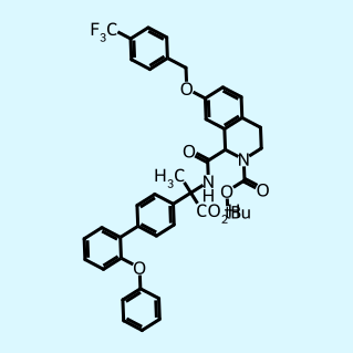 CC(C)(C)OC(=O)N1CCc2ccc(OCc3ccc(C(F)(F)F)cc3)cc2C1C(=O)NC(C)(C(=O)O)c1ccc(-c2ccccc2Oc2ccccc2)cc1